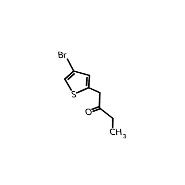 CCC(=O)Cc1cc(Br)cs1